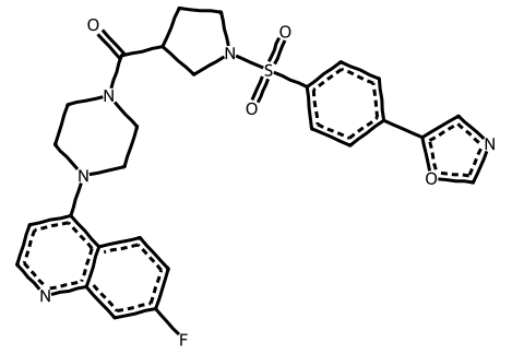 O=C(C1CCN(S(=O)(=O)c2ccc(-c3cnco3)cc2)C1)N1CCN(c2ccnc3cc(F)ccc23)CC1